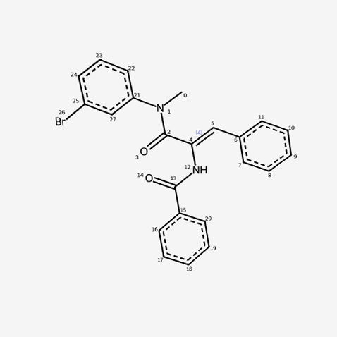 CN(C(=O)/C(=C/c1ccccc1)NC(=O)c1ccccc1)c1cccc(Br)c1